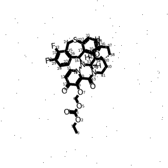 CCOC(=O)OCOc1c2n(ccc1=O)N([C@@H]1c3ccccc3SCc3c1ccc(F)c3F)[C@@H]1[C@H]3C[C@@H]4CC[C@@]3(CCN1C2=O)O4